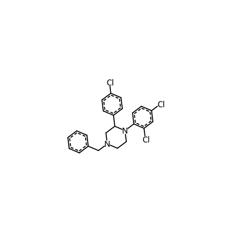 Clc1ccc(C2CN(Cc3ccccc3)CCN2c2ccc(Cl)cc2Cl)cc1